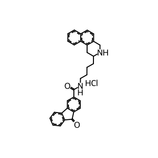 Cl.O=C(NCCCCC1Cc2c(ccc3ccccc23)CN1)c1ccc2c(c1)-c1ccccc1C2=O